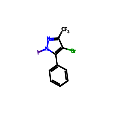 FC(F)(F)c1nn(I)c(-c2ccccc2)c1Br